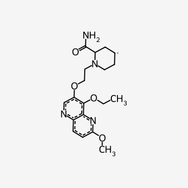 CCOc1c(OCCN2CC[CH]CC2C(N)=O)cnc2ccc(OC)nc12